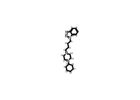 c1ccc2c(c1)nnn2CCCCN1CCN(C2CCCCC2)CC1